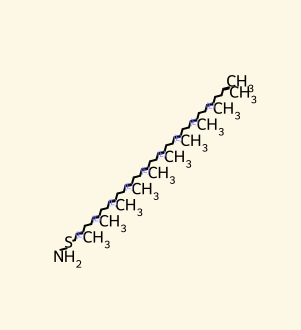 CC(C)=CCC/C(C)=C/CC/C(C)=C/CC/C(C)=C/CC/C(C)=C/CC/C(C)=C/CC/C(C)=C/CC/C(C)=C/CC/C(C)=C/CC/C(C)=C/CSCCN